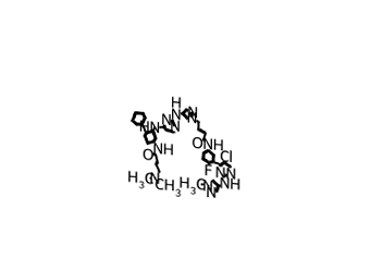 CN(C)C/C=C/C(=O)Nc1ccc(-c2ccccc2)c(Nc2ccnc(Nc3cnn(C/C=C/C(=O)Nc4ccc(F)c(-c5nc(Nc6cnn(C)c6)ncc5Cl)c4)c3)n2)c1